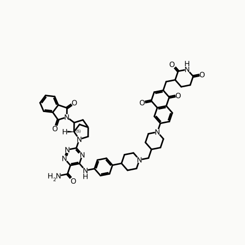 NC(=O)c1nnc(N2CC3CC(N4C(=O)c5ccccc5C4=O)[C@@H]2C3)nc1Nc1ccc(C2CCN(CC3CCN(c4ccc5c(c4)C(=O)C=C(CC4CCC(=O)NC4=O)C5=O)CC3)CC2)cc1